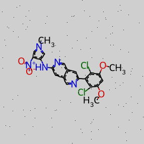 COc1cc(OC)c(Cl)c(-c2cc3cnc(Nc4cn(C)cc4[N+](=O)[O-])cc3cn2)c1Cl